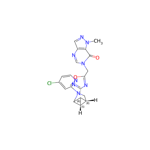 Cn1ncc2ncn(Cc3nc([C@@]45C6[C@H]4[C@H]5CN6c4cc(Cl)ccn4)no3)c(=O)c21